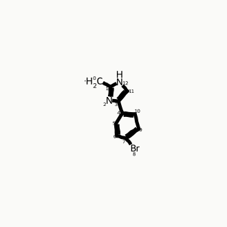 [CH2]c1nc(-c2ccc(Br)cc2)c[nH]1